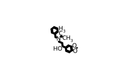 CC(C)N(CCC(O)c1ccc2c(c1)OCO2)Cc1ccccc1